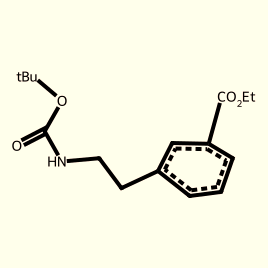 CCOC(=O)c1cccc(CCNC(=O)OC(C)(C)C)c1